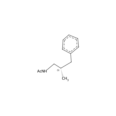 CC(=O)NC[C@@H](C)Cc1ccccc1